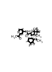 COc1c([C@@H]2C(C(=O)Nc3ccnc(C(C)=O)c3)O[C@](C)(C(F)(F)F)[C@@H]2C)ccc(F)c1F